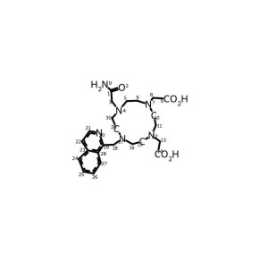 NC(=O)CN1CCN(CC(=O)O)CCN(CC(=O)O)CCN(Cc2nccc3ccccc23)CC1